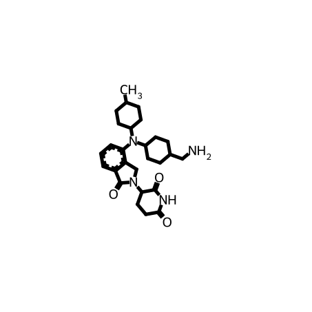 CC1CCC(N(c2cccc3c2CN(C2CCC(=O)NC2=O)C3=O)C2CCC(CN)CC2)CC1